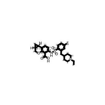 CCN1CCC(Cc2cc(F)ccc2S(=O)(=O)Nc2ccc3c(c2C(=O)O)OC[C@@H]2C[C@H]32)CC1